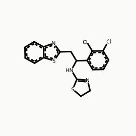 Clc1cccc(C(Cc2nc3ccccc3s2)NC2=NCCS2)c1Cl